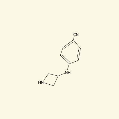 N#Cc1ccc(NC2CNC2)cc1